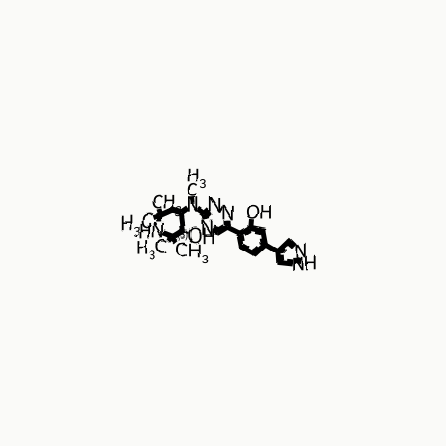 CN(c1ncc(-c2ccc(-c3cn[nH]c3)cc2O)nn1)C1CC(C)(C)NC(C)(C)[C@H]1O